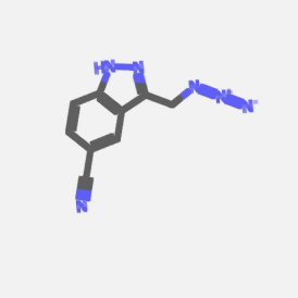 N#Cc1ccc2[nH]nc(CN=[N+]=[N-])c2c1